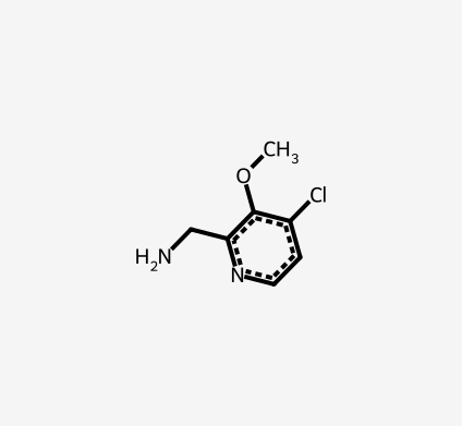 COc1c(Cl)ccnc1CN